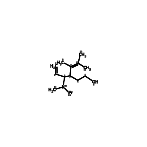 C=CC(C(CCO)C(C)=C(C)C)N(C)C(C)C